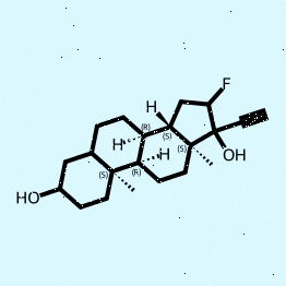 C#CC1(O)C(F)C[C@H]2[C@@H]3CCC4CC(O)CC[C@]4(C)[C@@H]3CC[C@@]21C